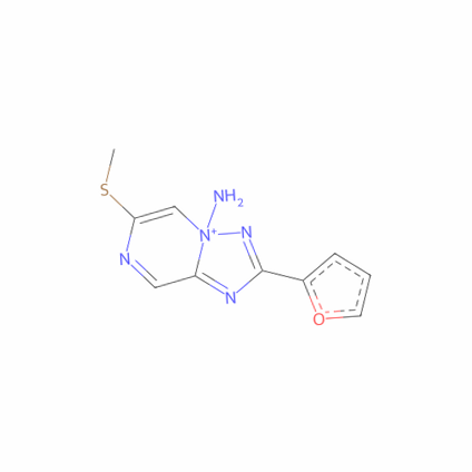 CSC1=C[N+]2(N)N=C(c3ccco3)N=C2C=N1